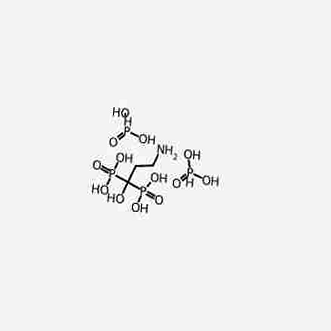 NCCC(O)(P(=O)(O)O)P(=O)(O)O.O=[PH](O)O.O=[PH](O)O